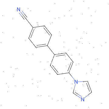 N#Cc1ccc(-c2ccc(-n3ccnc3)cc2)cc1